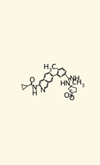 Cc1ccc(C(=N)NC2(C)CCS(=O)(=O)C2)cc1-c1ccc2cc(NC(=O)C3CC3)ncc2c1